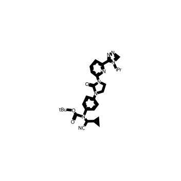 CC(C)n1cnnc1-c1cccc(N2CCN(c3ccc(N(C(=O)OC(C)(C)C)C(C#N)C4CC4)cc3)C2=O)n1